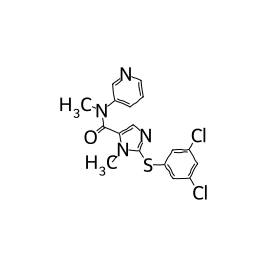 CN(C(=O)c1cnc(Sc2cc(Cl)cc(Cl)c2)n1C)c1cccnc1